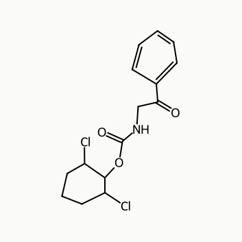 O=C(NCC(=O)c1ccccc1)OC1C(Cl)CCCC1Cl